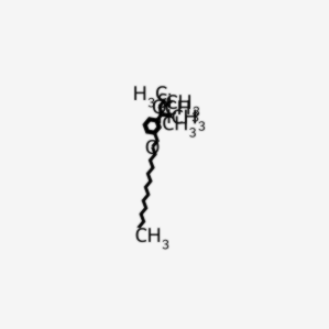 CCCCCCCCCCCCCOCc1cccc(C(O[SiH](C)C)C(C)(C)C)c1